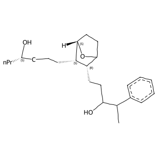 CCC[C@H](O)CCC[C@@H]1[C@@H]2CCC(O2)[C@@H]1CCC(O)C(C)c1ccccc1